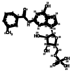 Cc1cccc(C(=O)Nc2nc(O)c3ncn([C@@H]4O[C@H](COP(=O)(O)O)[C@H](O)[C@H]4O)c3n2)c1